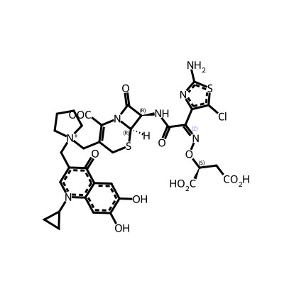 Nc1nc(/C(=N/O[C@@H](CC(=O)O)C(=O)O)C(=O)N[C@@H]2C(=O)N3C(C(=O)[O-])=C(C[N+]4(Cc5cn(C6CC6)c6cc(O)c(O)cc6c5=O)CCCC4)CS[C@H]23)c(Cl)s1